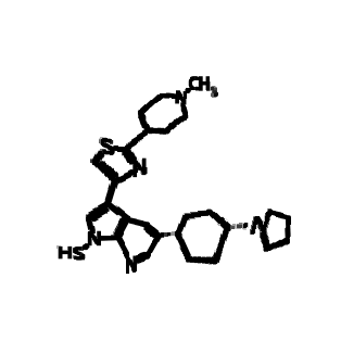 CN1CCC(c2nc(-c3cn(S)c4ncc([C@H]5CC[C@@H](N6CCCC6)CC5)cc34)cs2)CC1